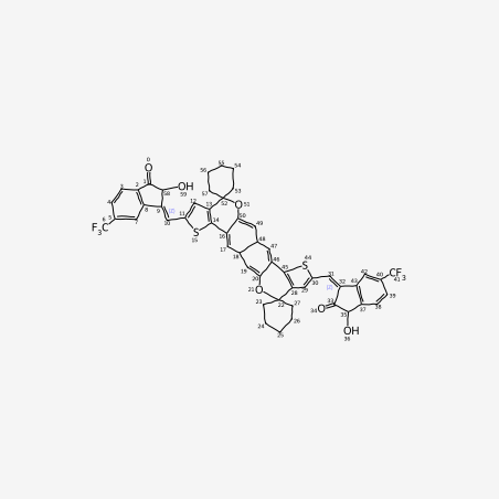 O=C1c2ccc(C(F)(F)F)cc2/C(=C/c2cc3c(s2)C2=CC4C=C5OC6(CCCCC6)c6cc(/C=C7\C(=O)C(O)c8ccc(C(F)(F)F)cc87)sc6C5=CC4C=C2OC32CCCCC2)C1O